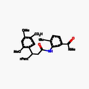 CCCCCC(CC(=O)Nc1cc(C(=O)NC)ccc1C(C)(C)C)c1cc(C(=O)O)c(OC)cc1OC